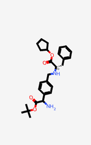 CC(C)(C)OC(=O)C(N)c1ccc(CN[C@@H](Cc2ccccc2)C(=O)OC2CCCC2)cc1